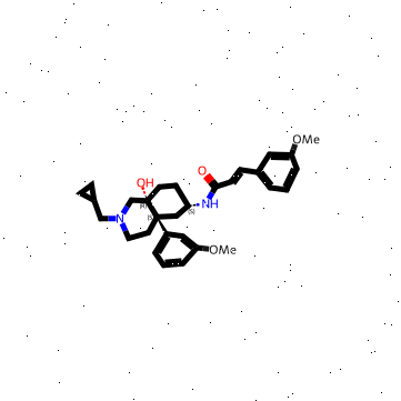 COc1cccc(C=CC(=O)N[C@H]2CC[C@]3(O)CN(CC4CC4)CC[C@@]3(c3cccc(OC)c3)C2)c1